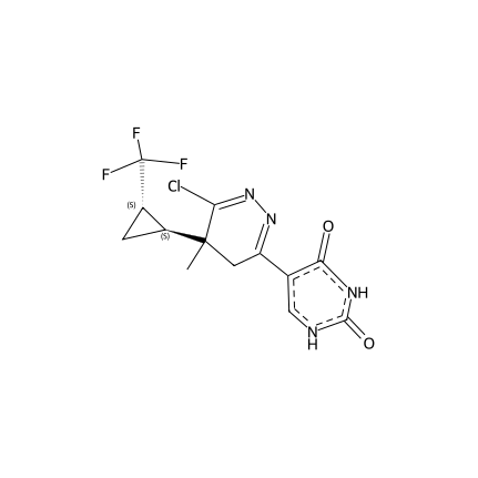 CC1([C@H]2C[C@@H]2C(F)(F)F)CC(c2c[nH]c(=O)[nH]c2=O)=NN=C1Cl